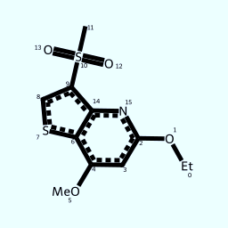 CCOc1cc(OC)c2scc(S(C)(=O)=O)c2n1